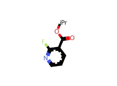 CC(C)OC(=O)c1cccnc1F